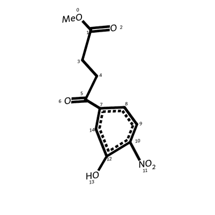 COC(=O)CCC(=O)c1ccc([N+](=O)[O-])c(O)c1